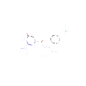 CC(C)C(NC(=O)c1cc(=O)[nH]c(N2CC[C@H](F)C2)n1)c1ccc(SC(F)(F)F)c(F)c1